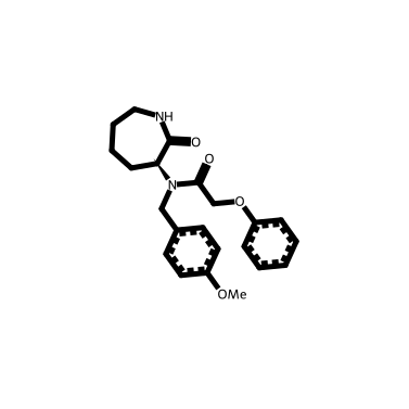 COc1ccc(CN(C(=O)COc2ccccc2)[C@H]2CCCCNC2=O)cc1